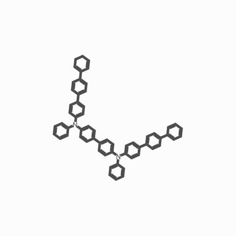 C1=CC(c2ccc(-c3ccc(N(c4ccccc4)c4ccc(-c5ccc(N(c6ccccc6)c6ccc(-c7ccc(-c8ccccc8)cc7)cc6)cc5)cc4)cc3)cc2)=CCC1